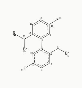 Fc1ccc(CBr)c(-c2cc(F)ccc2C(Br)Br)c1